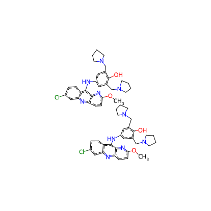 COc1ccc2nc3cc(Cl)ccc3c(Nc3cc(CN4CCCC4)c(O)c(CN4CCCC4)c3)c2n1.COc1ccc2nc3cc(Cl)ccc3c(Nc3cc(CN4CCCC4)c(O)c(CN4CCCC4)c3)c2n1